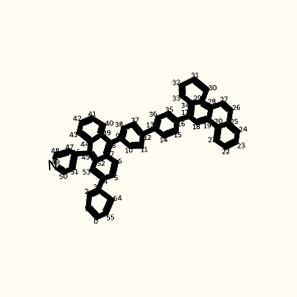 c1ccc(-c2ccc3c(-c4ccc(-c5ccc(-c6cc7c8ccccc8ccc7c7ccccc67)cc5)cc4)c4ccccc4c(-c4ccncc4)c3c2)cc1